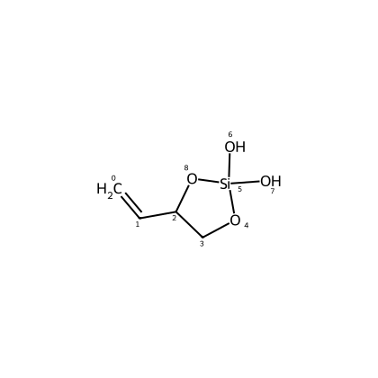 C=CC1CO[Si](O)(O)O1